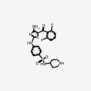 Nc1nc(Nc2ccc(S(=O)(=O)NC3CCNCC3)cc2)sc1C(=O)c1c(F)cccc1F